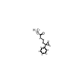 COC(=O)CCCC1(c2ccccc2)CC1